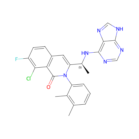 Cc1cccc(-n2c([C@H](C)Nc3ncnc4[nH]cnc34)cc3ccc(F)c(Cl)c3c2=O)c1C